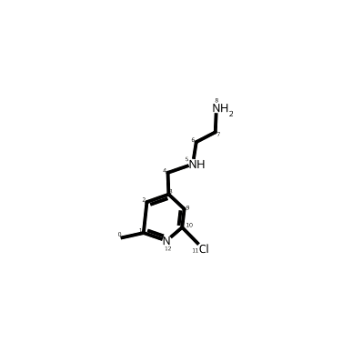 Cc1cc(CNCCN)cc(Cl)n1